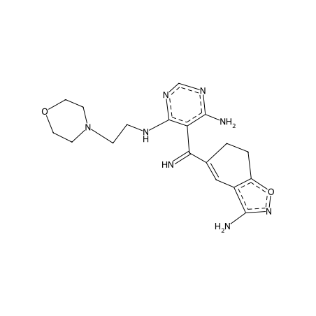 N=C(C1=Cc2c(N)noc2CC1)c1c(N)ncnc1NCCN1CCOCC1